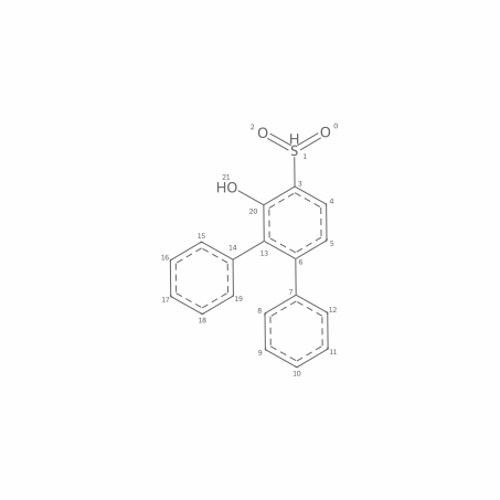 O=[SH](=O)c1ccc(-c2ccccc2)c(-c2ccccc2)c1O